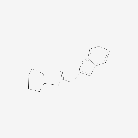 O=C(NC1CCCCC1)Oc1cc2ccccc2s1